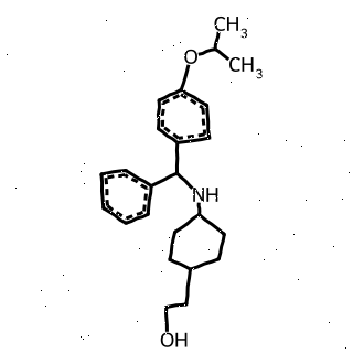 CC(C)Oc1ccc(C(NC2CCC(CCO)CC2)c2ccccc2)cc1